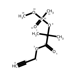 C#CCOC(=O)C(C)(C)OP(C)(=O)OC